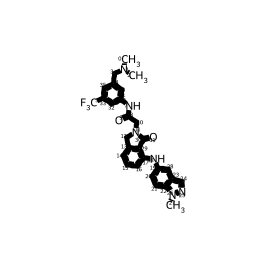 CN(C)Cc1cc(NC(=O)CN2Cc3cccc(Nc4ccc5c(cnn5C)c4)c3C2=O)cc(C(F)(F)F)c1